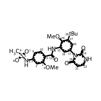 COc1cc(NS(C)(=O)=O)ccc1C(=O)Nc1cc(-n2c(=O)cc[nH]c2=O)cc(C(C)(C)C)c1OC